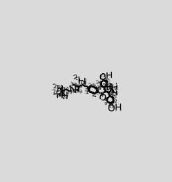 [2H]C(c1ccc(C2Oc3cc(O)ccc3C(C([2H])([2H])[2H])=C2c2ccc(O)cc2)cc1)C1CN(CCC([2H])([2H])[2H])C1